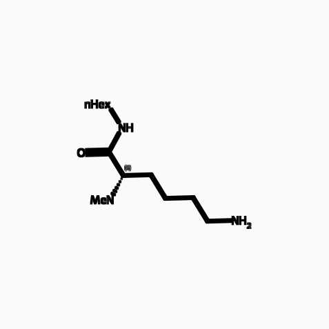 CCCCCCNC(=O)[C@H](CCCCN)NC